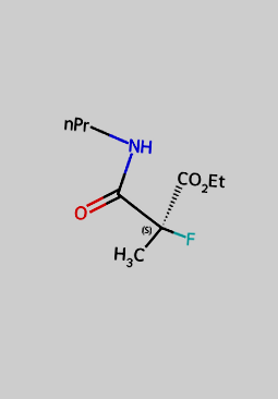 CCCNC(=O)[C@](C)(F)C(=O)OCC